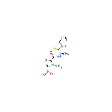 CCNC(=S)N(C)NC(=O)c1ncc([N+](=O)[O-])n1C